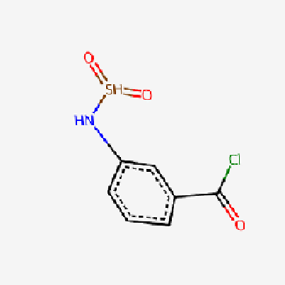 O=C(Cl)c1cccc(N[SH](=O)=O)c1